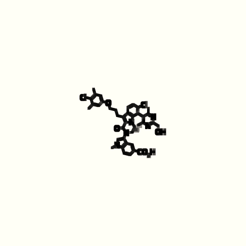 Cc1cc(OCCCc2c3n(c4c(-c5c(C)nc(CO)nc5C)c(Cl)ccc24)[C@H](C)CN(c2cn(C)c4ccc(C(=O)O)cc24)C3=O)cc(C)c1Cl